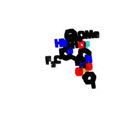 COC(=O)[C@@H]1C2CCC(CC2)[C@H]1Nc1cc(C(F)(F)F)cc(-c2cn(S(=O)(=O)c3ccc(C)cc3)c3ncc(F)cc23)n1